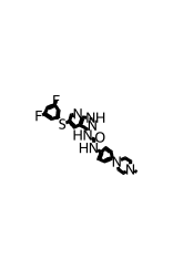 CN1CCN(c2ccc(NC(=O)Nc3n[nH]c4ncc(Sc5cc(F)cc(F)c5)cc34)cc2)CC1